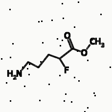 COC(=O)C(F)CCCN